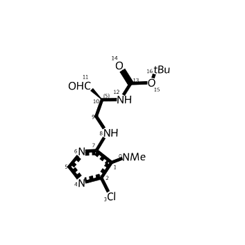 CNc1c(Cl)ncnc1NC[C@@H](C=O)NC(=O)OC(C)(C)C